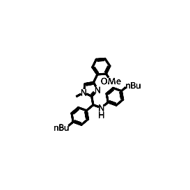 CCCCc1ccc(NC(c2ccc(CCCC)cc2)c2nc(-c3ccccc3OC)cn2C)cc1